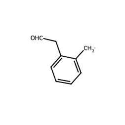 [CH2]c1ccccc1CC=O